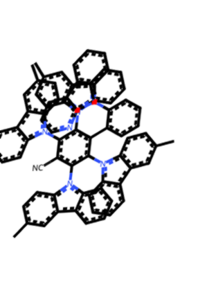 Cc1ccc2c(c1)c1ccccc1n2-c1c(C#N)c(-n2c3ccccc3c3cc(C)ccc32)c(-n2c3ccccc3c3cc(C)ccc32)c(-c2ccccc2-n2c3ccccc3c3cccnc32)c1-n1c2ccccc2c2cc(C)ccc21